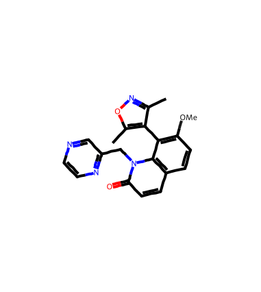 COc1ccc2ccc(=O)n(Cc3cnccn3)c2c1-c1c(C)noc1C